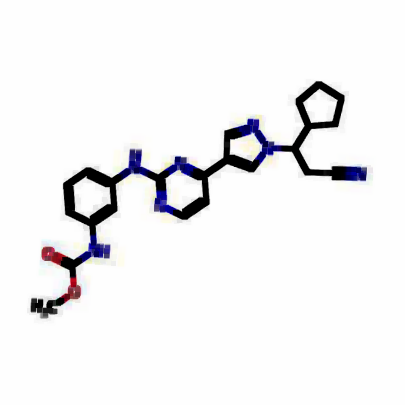 COC(=O)Nc1cccc(Nc2nccc(-c3cnn(C(CC#N)C4CCCC4)c3)n2)c1